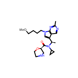 COCCCCn1cc([C@@H](C)N(C(=O)[C@H]2CNCCO2)C2CC2)c2cnc(C)nc21